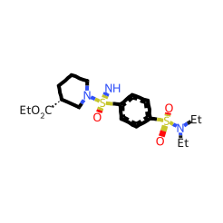 CCOC(=O)[C@@H]1CCCN(S(=N)(=O)c2ccc(S(=O)(=O)N(CC)CC)cc2)C1